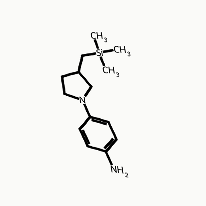 C[Si](C)(C)CC1CCN(c2ccc(N)cc2)C1